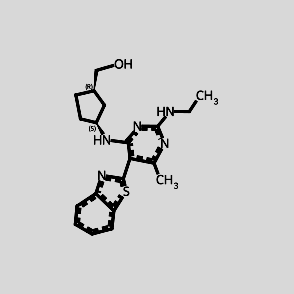 CCNc1nc(C)c(-c2nc3ccccc3s2)c(N[C@H]2CC[C@@H](CO)C2)n1